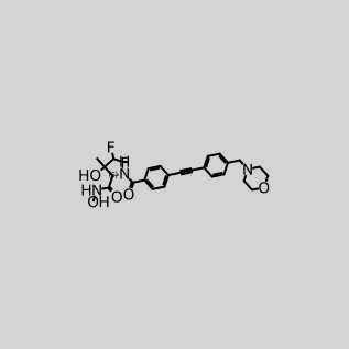 CC(O)(C(F)F)[C@H](NC(=O)c1ccc(C#Cc2ccc(CN3CCOCC3)cc2)cc1)C(=O)NO